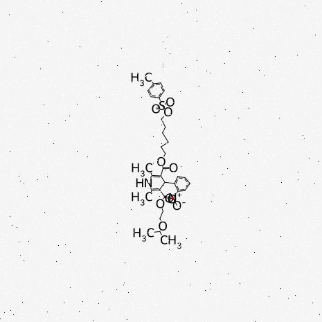 CC1=C(C(=O)OCCCCCCOS(=O)(=O)c2ccc(C)cc2)C(c2ccccc2[N+](=O)[O-])C(C(=O)OCCOC(C)C)=C(C)N1